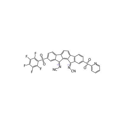 N#C/N=c1\c2cc(S(=O)(=O)c3ccccn3)ccc2c2ccc3c4ccc(S(=O)(=O)c5c(F)c(F)c(F)c(F)c5F)cc4/c(=N\C#N)c3c12